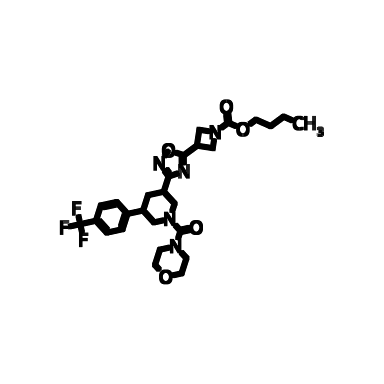 CCCCOC(=O)N1CC(c2nc(C3CC(c4ccc(C(F)(F)F)cc4)CN(C(=O)N4CCOCC4)C3)no2)C1